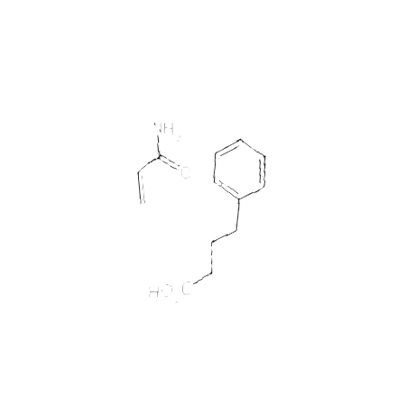 C=CC(N)=O.O=C(O)CCCc1ccccc1